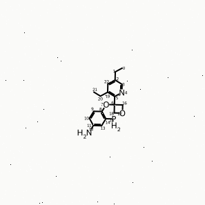 CCc1cnc(C2(Oc3ccc(N)cc3P)COC2)c(CC)c1